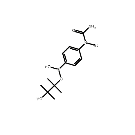 CCN(C(N)=O)c1ccc(B(O)OC(C)(C)C(C)(C)O)cc1